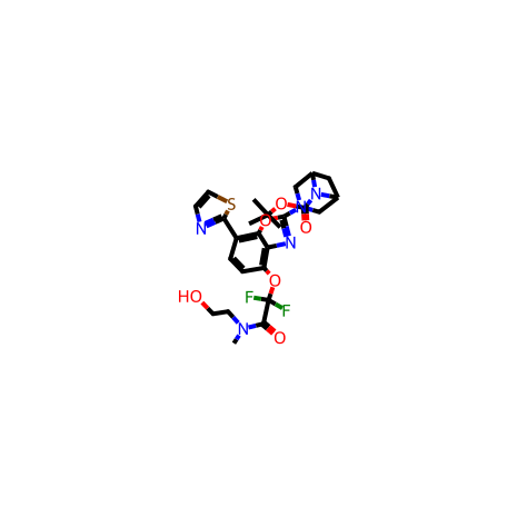 CN(CCO)C(=O)C(F)(F)Oc1ccc(-c2nccs2)c2oc(N3CC4CC(C3)N4C(=O)OC(C)(C)C)nc12